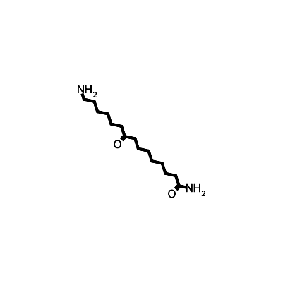 NCCCCCCC(=O)CCCCCCCC(N)=O